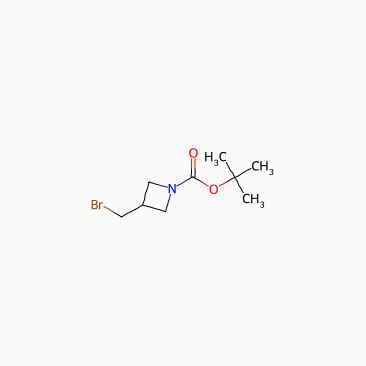 CC(C)(C)OC(=O)N1CC(CBr)C1